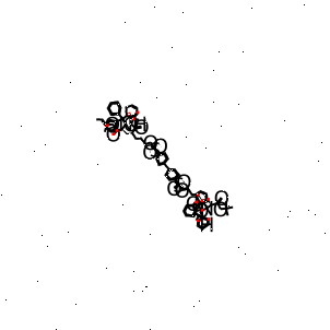 C/C=C(\C)OC(=O)[C@H](C[C@H](CCCOS(=O)(=O)c1ccc(-c2ccc(S(=O)(=O)OCCC[C@@H](C[C@H](NC(c3ccccc3)(c3ccccc3)c3ccccc3)C(=O)OC(C)(C)C)C(=O)OC(C)(C)C)cc2)cc1)C(=O)OC(C)(C)C)NC(c1ccccc1)(c1ccccc1)C1C=CC=CC1